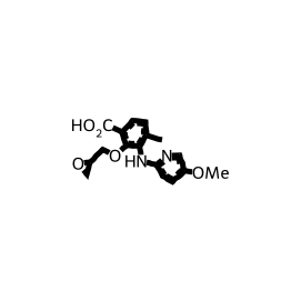 COc1ccc(Nc2c(C)ccc(C(=O)O)c2OCC2CO2)nc1